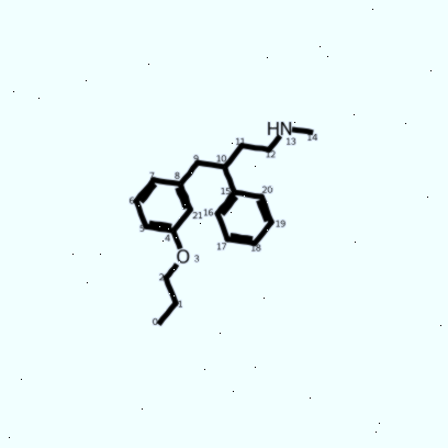 CCCOc1cccc(CC(CCNC)c2ccccc2)c1